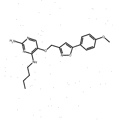 CCCCNc1nc(N)ncc1OCc1cc(-c2ccc(OC)cc2)on1